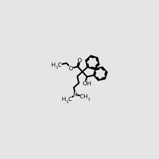 CCOC(=O)C(CCCN(C)C)(c1ccccc1)C(O)c1ccccc1